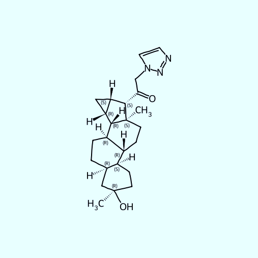 C[C@@]1(O)CC[C@H]2[C@H](CC[C@@H]3[C@@H]2CC[C@@]2(C)[C@H]3[C@@H]3C[C@@H]3[C@@H]2C(=O)Cn2ccnn2)C1